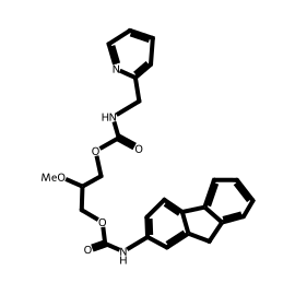 COC(COC(=O)NCc1ccccn1)COC(=O)Nc1ccc2c(c1)Cc1ccccc1-2